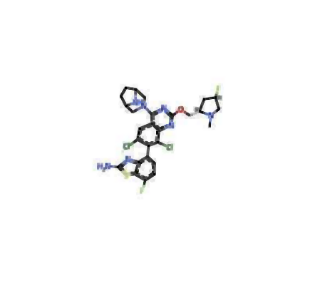 CN1C[C@H](F)C[C@H]1COc1nc(N2CC3CCC(C2)N3)c2cc(Cl)c(-c3ccc(F)c4sc(N)nc34)c(Cl)c2n1